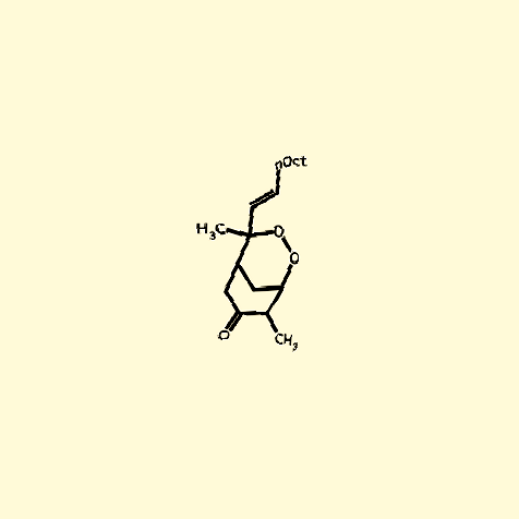 CCCCCCCCC=CC1(C)OOC2CC1CC(=O)C2C